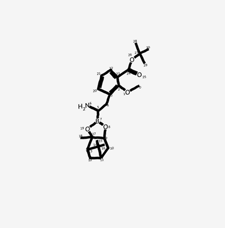 COc1c(CC(N)B2OC3CC4CC(C4(C)C)C3(C)O2)cccc1C(=O)OC(C)(C)C